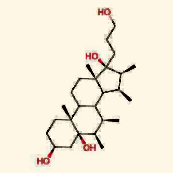 C[C@@H]1C2C3[C@H](C)[C@H](C)[C@@](O)(CCCO)[C@@]3(C)CCC2[C@@]2(C)CC[C@H](O)C[C@@]2(O)[C@@H]1C